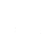 C1CCC[N+]2(CC1)CCCC2.[I-]